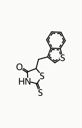 O=C1NC(=S)SC1Cc1csc2ccccc12